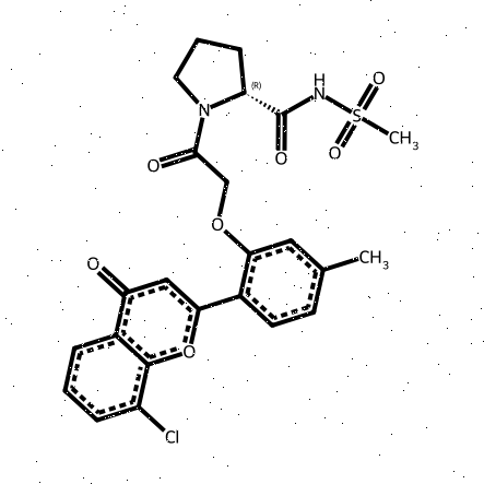 Cc1ccc(-c2cc(=O)c3cccc(Cl)c3o2)c(OCC(=O)N2CCC[C@@H]2C(=O)NS(C)(=O)=O)c1